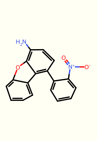 Nc1ccc(-c2ccccc2[N+](=O)[O-])c2c1oc1ccccc12